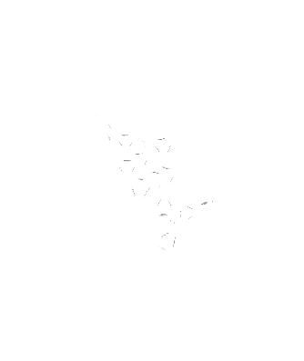 C=C/C=C\c1ccc(/N=C(/c2ccccc2)c2cc(-c3c4ccccc4c(-c4ccc5c(c4)c4cc(C#N)ccc4n5-c4ccccc4)c4ccccc34)c3ccccc3c2)cc1